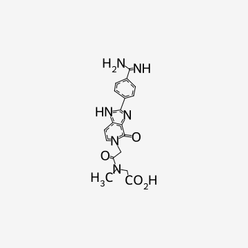 CN(CC(=O)O)C(=O)Cn1ccc2[nH]c(-c3ccc(C(=N)N)cc3)nc2c1=O